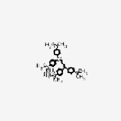 CN(C)c1ccc(C(=CC=C[C+](c2ccc(N(C)C)cc2)c2ccc(N(C)C)cc2)c2ccc(N(C)C)cc2)cc1.[Cl-]